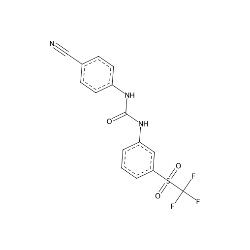 N#Cc1ccc(NC(=O)Nc2cccc(S(=O)(=O)C(F)(F)F)c2)cc1